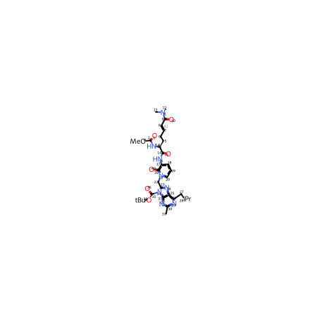 COC(=O)N[C@@H](CC/C=C/C(=O)N(C)C)C(=O)Nc1cccn(Cc2nc3c(CC(C)C)nc(C)nc3n2C(=O)OC(C)(C)C)c1=O